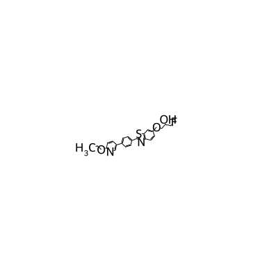 CCOc1ccc(-c2ccc(-c3nc4ccc(OCC(O)CF)cc4s3)cc2)cn1